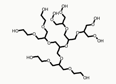 OCCOCC(COCCO)OCC(COC(COCCO)COCCO)OC(COC(COO)COO)COC(COO)COO